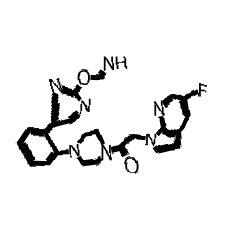 N=COc1ncc(-c2ccccc2N2CCN(C(=O)Cn3ccc4cc(F)cnc43)CC2)cn1